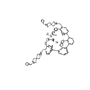 COc1nc(-c2cccc(-c3cccc(-c4ccc(CN5CC6(CN(C=O)C6)C5)c(OC)n4)c3Cl)c2Cl)ccc1CN1CC2(CN(C=O)C2)C1